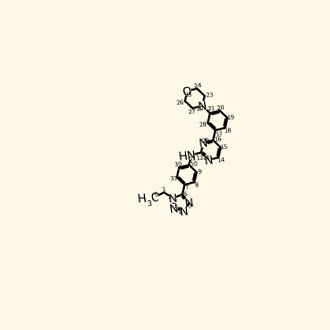 CCn1nnnc1-c1ccc(Nc2nccc(-c3cccc(N4CCOCC4)c3)n2)cc1